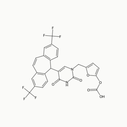 O=C(O)Oc1ccc(Cn2cc(C3c4ccc(C(F)(F)F)cc4C=Cc4cc(C(F)(F)F)ccc43)c(=O)[nH]c2=O)o1